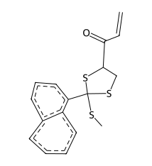 C=CC(=O)C1CSC(SC)(c2cccc3ccccc23)S1